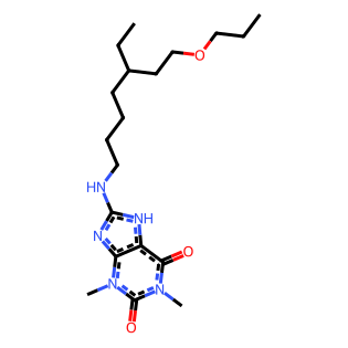 CCCOCCC(CC)CCCCNc1nc2c([nH]1)c(=O)n(C)c(=O)n2C